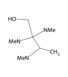 CNC(C)C(CO)(NC)NC